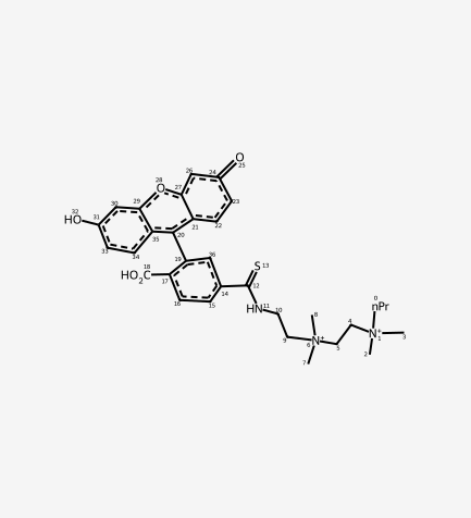 CCC[N+](C)(C)CC[N+](C)(C)CCNC(=S)c1ccc(C(=O)O)c(-c2c3ccc(=O)cc-3oc3cc(O)ccc23)c1